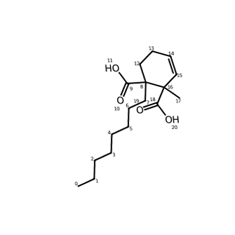 CCCCCCCCC1(C(=O)O)CCC=CC1(C)C(=O)O